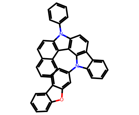 c1ccc(-n2c3ccc4ccccc4c3c3c2ccc2c4ccccc4n(-c4ccc5c(c4)oc4ccccc45)c23)cc1